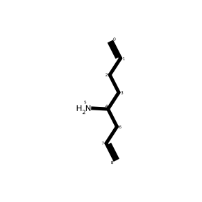 C=CCCC(N)CC=C